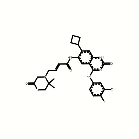 CC1(C)COC(=O)CN1CC=CC(=O)Nc1cc2c(Nc3ccc(F)c(Cl)c3)nc(=O)[nH]c2cc1C1CCC1